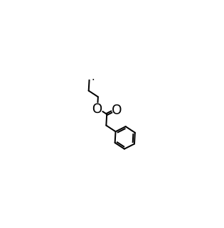 [CH2]CCOC(=O)Cc1ccccc1